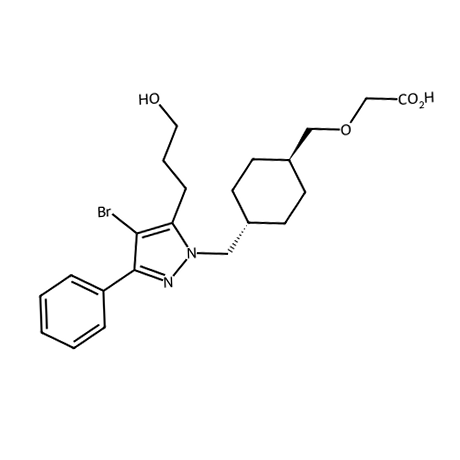 O=C(O)COC[C@H]1CC[C@H](Cn2nc(-c3ccccc3)c(Br)c2CCCO)CC1